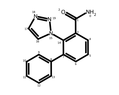 NC(=O)c1cccc(-c2ccccc2)c1-n1ccnn1